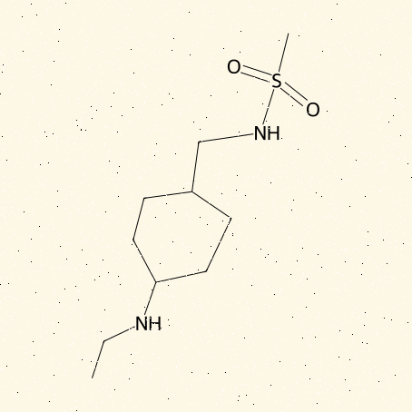 CCNC1CCC(CNS(C)(=O)=O)CC1